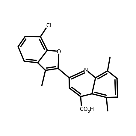 Cc1c(-c2cc(C(=O)O)c3c(C)ccc(C)c3n2)oc2c(Cl)cccc12